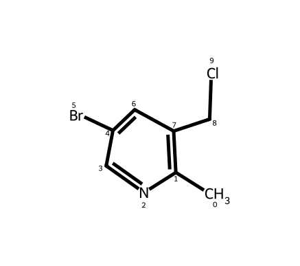 Cc1ncc(Br)cc1CCl